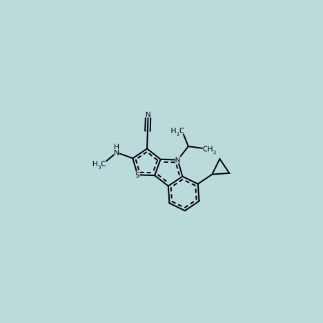 CNc1sc2c3cccc(C4CC4)c3n(C(C)C)c2c1C#N